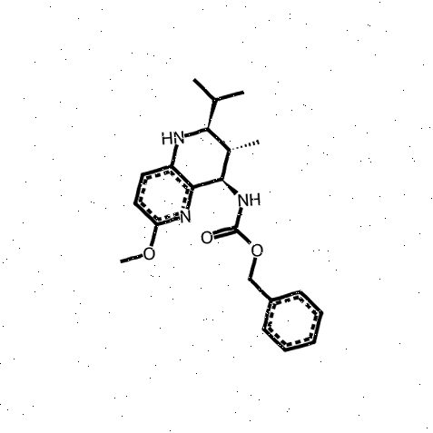 COc1ccc2c(n1)[C@H](NC(=O)OCc1ccccc1)[C@@H](C)[C@H](C(C)C)N2